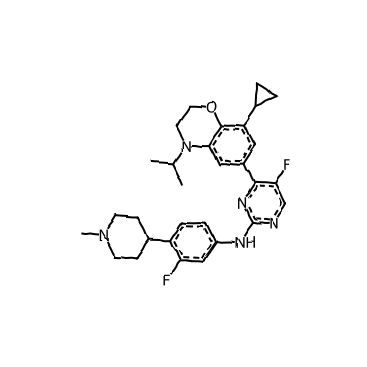 CC(C)N1CCOc2c(C3CC3)cc(-c3nc(Nc4ccc(C5CCN(C)CC5)c(F)c4)ncc3F)cc21